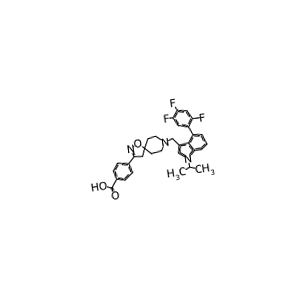 CC(C)n1cc(CN2CCC3(CC2)CC(c2ccc(C(=O)O)cc2)=NO3)c2c(-c3cc(F)c(F)cc3F)cccc21